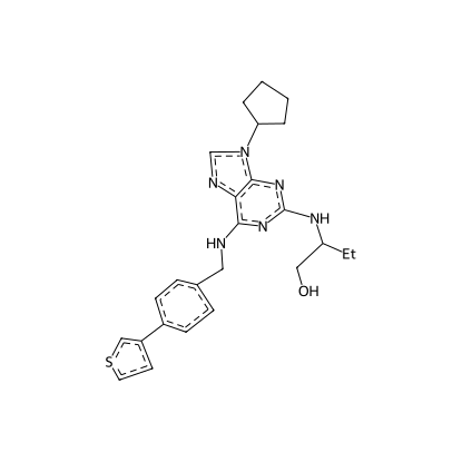 CCC(CO)Nc1nc(NCc2ccc(-c3ccsc3)cc2)c2ncn(C3CCCC3)c2n1